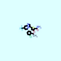 CC(Oc1cc(-c2cnc3cc(C(F)(F)F)ccn23)sc1C(N)=O)c1ccccc1Cl